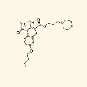 CCCCOc1ccc2c(C(N)=O)c(O)c(C(=O)OCCCN3CCOCC3)cc2c1